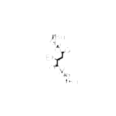 CC/C(=C\C(=O)OOOC(C)(C)C)C(=O)OOOC(C)(C)C